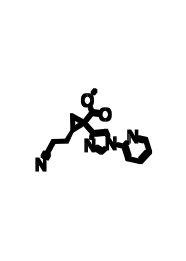 COC(=O)C1(c2cn(-c3ccccn3)cn2)C[C@@H]1CCC#N